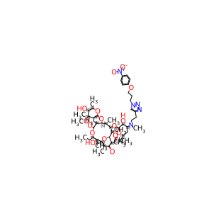 CC[C@H]1OC(=O)[C@H](C)[C@@H](O[C@H]2C[C@@](C)(OC)[C@@H](O)[C@H](C)O2)[C@H](C)[C@@H](O[C@@H]2O[C@H](C)C[C@H](N(C)CCc3cn(CCCOc4ccc([N+](=O)[O-])cc4)nn3)[C@H]2O)[C@](C)(OC)C2O[C@H]([C@@H](C)C(=O)[C@@H]2C)[C@]1(C)O